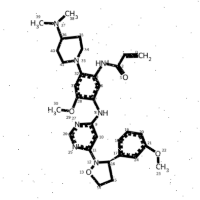 C=CC(=O)Nc1cc(Nc2cc(N3OCC[C@@H]3c3cccc(OC)c3)ncn2)c(OC)cc1N1CCC(N(C)C)CC1